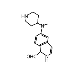 CN(c1ccc2c(c1)C=CNC2C=O)C1CCNCC1